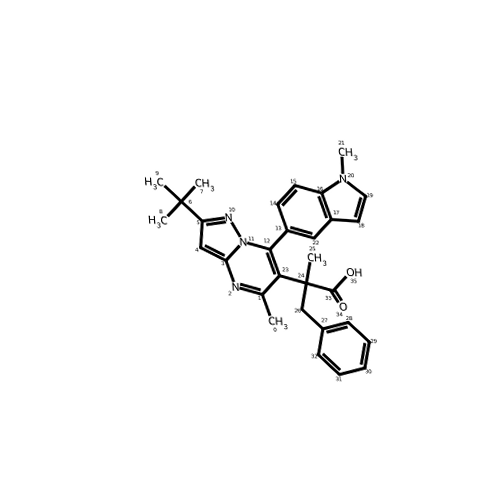 Cc1nc2cc(C(C)(C)C)nn2c(-c2ccc3c(ccn3C)c2)c1C(C)(Cc1ccccc1)C(=O)O